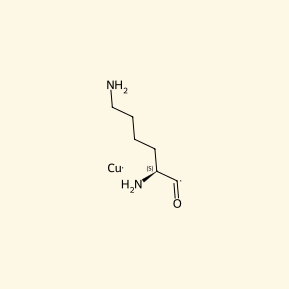 NCCCC[C@H](N)[C]=O.[Cu]